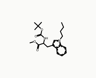 CCCCn1cc(CC(NC(=O)OC(C)(C)C)C(=O)OC)c2ccccc21